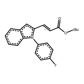 CC(C)(C)OC(=O)/C=C/c1cc2ccccc2n1-c1ccc(F)cc1